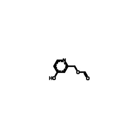 O=COCc1cc(O)ccn1